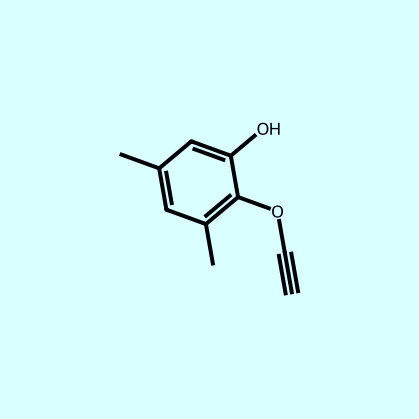 C#COc1c(C)cc(C)cc1O